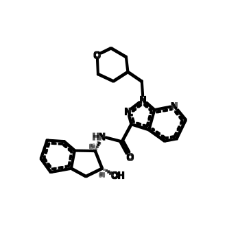 O=C(N[C@H]1c2ccccc2C[C@H]1O)c1nn(CC2CCOCC2)c2ncccc12